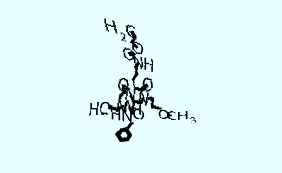 C#CCN1CC(=O)N2[C@@H](CCCNC(=O)OCC=C)C(=O)N(CCCOC)C[C@@H]2N1C(=O)NCc1ccccc1